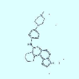 CN1CCN(c2ccc(Nc3nc4ccc5[nH]ccc5c4c4c3CCCC4)cc2)CC1